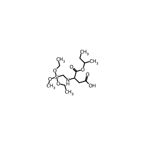 CCO[Si](CNC(CC(=O)O)C(=O)OC(C)CC)(OC)OCC